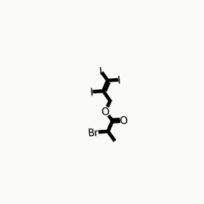 CC(Br)C(=O)OCC(I)=C(I)I